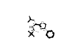 CC(C)C[C@@H](N[P@](C)C(C)(C)C)C1=N[C@@H](c2ccccc2)CO1